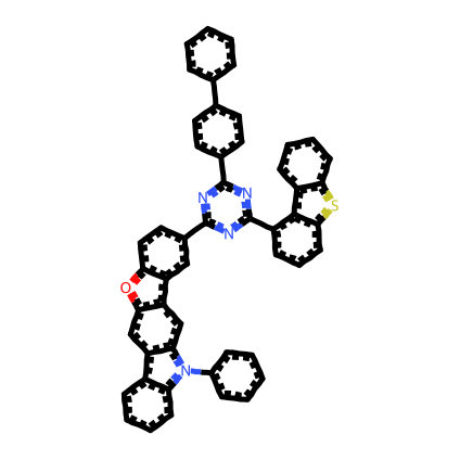 c1ccc(-c2ccc(-c3nc(-c4ccc5oc6cc7c8ccccc8n(-c8ccccc8)c7cc6c5c4)nc(-c4cccc5sc6ccccc6c45)n3)cc2)cc1